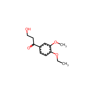 CCOc1ccc(C(=O)CCO)cc1OC